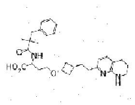 CC(C)(Cc1ccccc1)C(=O)NC(CCO[C@H]1C[C@H](CCc2ccc3c(n2)NCCC3)C1)C(=O)O